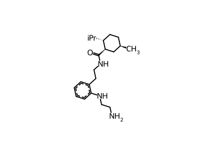 CC(C)[C@@H]1CC[C@@H](C)C[C@H]1C(=O)NCCc1ccccc1NCCN